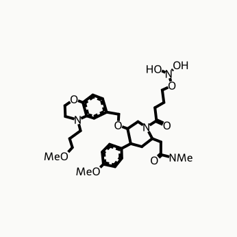 CNC(=O)CC1CC(c2ccc(OC)cc2)C(OCc2ccc3c(c2)N(CCCOC)CCO3)CN1C(=O)CCCON(O)O